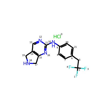 Cl.FC(F)(F)Cc1ccc(Nc2ncc3c(n2)CNC3)cc1